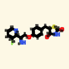 N=C(COc1ccc(CC2SC(=O)NC2=O)cc1)c1ncccc1F